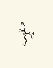 CCOC(=O)[C@H](CCO)NCl